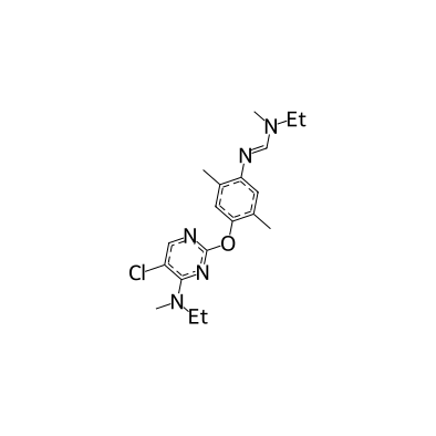 CCN(C)C=Nc1cc(C)c(Oc2ncc(Cl)c(N(C)CC)n2)cc1C